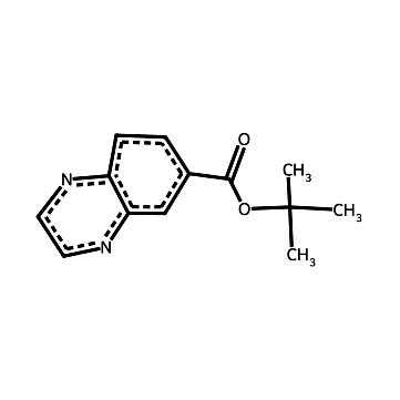 CC(C)(C)OC(=O)c1ccc2nccnc2c1